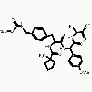 COc1ccc(C(NC(=O)C(Cc2ccc(CNC(=O)OC(C)(C)C)cc2)NC(=O)C2(C(F)(F)F)CCCC2)C(=O)NC(C(=O)C(F)(F)F)C(C)C)cc1